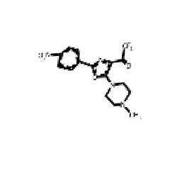 CN1CCN(c2oc(-c3ccc([N+](=O)[O-])cc3)nc2C(=O)C(F)(F)F)CC1